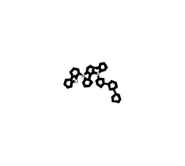 c1ccc(-c2cccc(-c3cccc(-n4c5ccccc5c5ccc6c(c7ccccc7n6-c6cccc7c6oc6ccccc67)c54)c3)c2)cc1